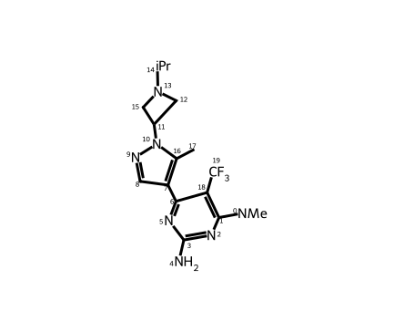 CNc1nc(N)nc(-c2cnn(C3CN(C(C)C)C3)c2C)c1C(F)(F)F